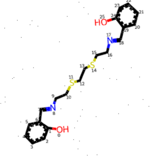 Oc1ccccc1/C=N/CCSCCSCC/N=C/c1ccccc1O